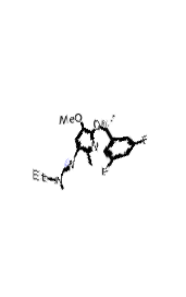 CCN(C)/C=N/c1cc(OC)c(O[C@H](C)c2cc(F)cc(F)c2)nc1C